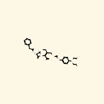 O=C(Cc1ccccc1)N[C@@H]1C(=O)N2C(C(=O)O)=C(COC(=O)Nc3ccc(N(CCCl)CCCl)cc3)CS[C@H]12